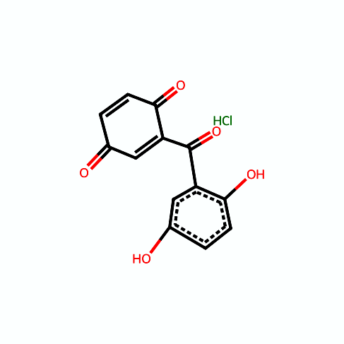 Cl.O=C1C=CC(=O)C(C(=O)c2cc(O)ccc2O)=C1